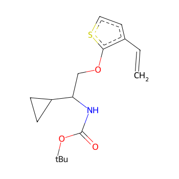 C=Cc1ccsc1OCC(NC(=O)OC(C)(C)C)C1CC1